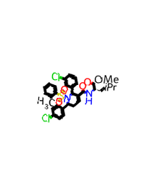 COC(=O)[C@H](CC(C)C)NC(=O)C1=CCC(c2ccc(Cl)cc2)N(S(=O)(=O)c2ccccc2C)C1c1cccc(Cl)c1